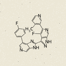 Cc1ccncc1-c1ncc2[nH]nc(-c3nc4c(-c5ccc(F)cc5)cncc4[nH]3)c2c1F